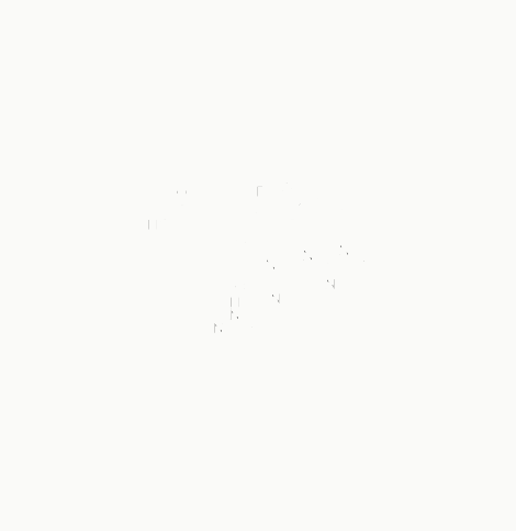 CC(=O)OC1C(F)C(CCC(=O)O)OC1n1c(=O)n(Cc2ccn[nH]2)c2cnc(N)nc21